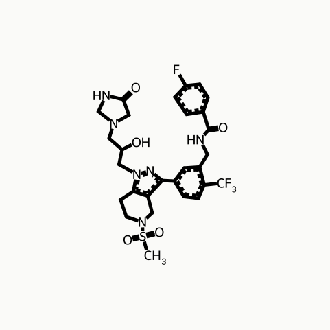 CS(=O)(=O)N1CCc2c(c(-c3ccc(C(F)(F)F)c(CNC(=O)c4ccc(F)cc4)c3)nn2CC(O)CN2CNC(=O)C2)C1